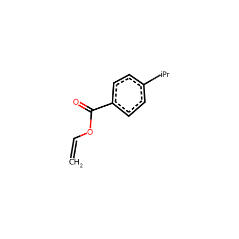 C=COC(=O)c1ccc(C(C)C)cc1